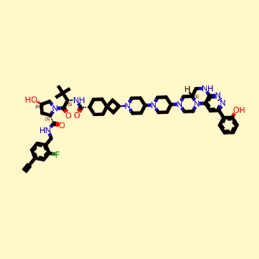 C#Cc1ccc(CNC(=O)[C@@H]2C[C@@H](O)CN2C(=O)[C@@H](NC(=O)[C@H]2CCC3(CC2)C[C@H](N2CCC(N4CCC(N5CCN6c7cc(-c8ccccc8O)nnc7NC[C@H]6C5)CC4)CC2)C3)C(C)(C)C)c(F)c1